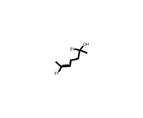 CC/C(C)=C/CCC(C)(O)CC